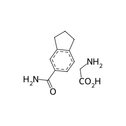 NC(=O)c1ccc2c(c1)CCC2.NCC(=O)O